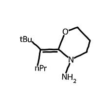 CCC/C(=C1/OCCCN1N)C(C)(C)C